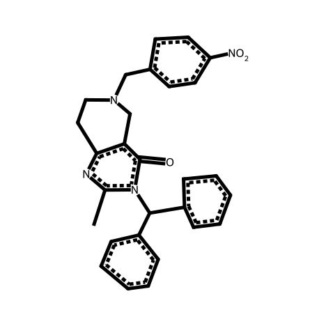 Cc1nc2c(c(=O)n1C(c1ccccc1)c1ccccc1)CN(Cc1ccc([N+](=O)[O-])cc1)CC2